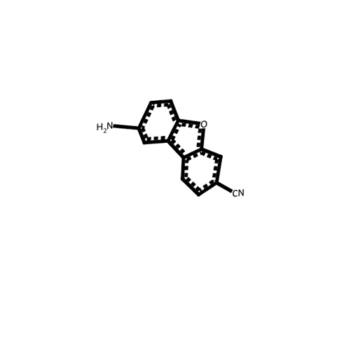 N#Cc1ccc2c(c1)oc1ccc(N)cc12